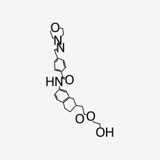 O=C(CC1CCc2ccc(NC(=O)c3ccc(C=NN4CCOCC4)cc3)cc2C1)OCCO